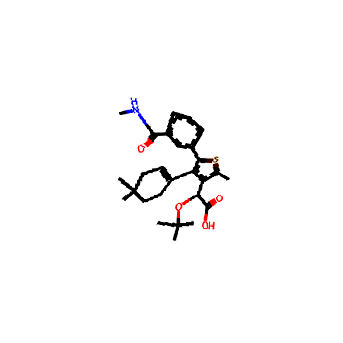 CNC(=O)c1cccc(-c2sc(C)c(C(OC(C)(C)C)C(=O)O)c2C2=CCC(C)(C)CC2)c1